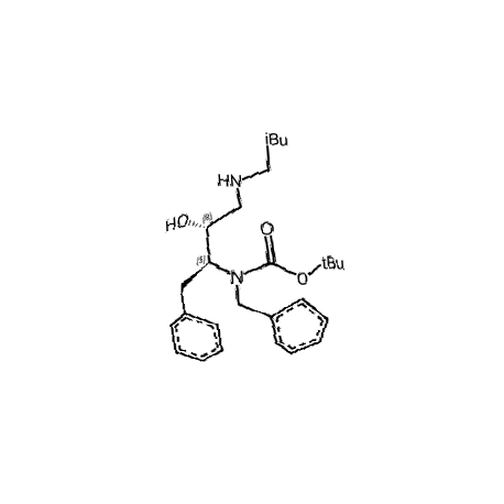 CCC(C)CNC[C@@H](O)[C@H](Cc1ccccc1)N(Cc1ccccc1)C(=O)OC(C)(C)C